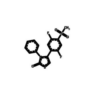 CS(=O)(=O)c1cc(F)c(-c2csc(=O)n2-c2ccccc2)cc1F